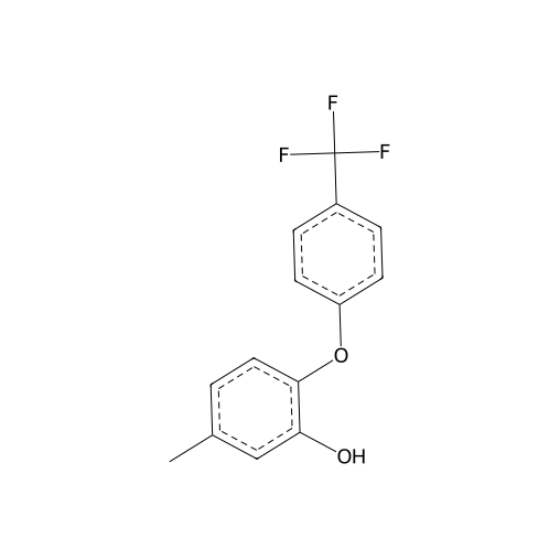 Cc1ccc(Oc2ccc(C(F)(F)F)cc2)c(O)c1